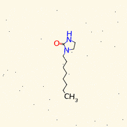 CCCCCCCCN1CCNC1=O